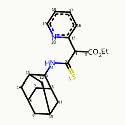 CCOC(=O)C(C(=S)NC1C2CC3CC(C2)CC1C3)c1ccccn1